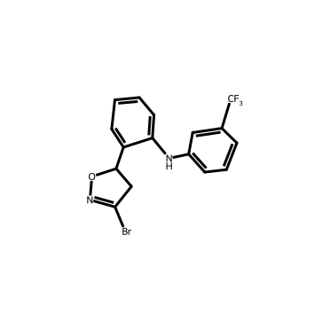 FC(F)(F)c1cccc(Nc2ccccc2C2CC(Br)=NO2)c1